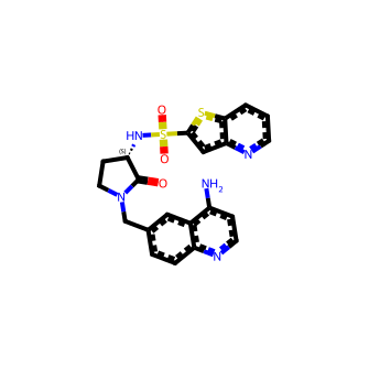 Nc1ccnc2ccc(CN3CC[C@H](NS(=O)(=O)c4cc5ncccc5s4)C3=O)cc12